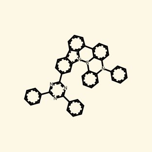 c1ccc(-c2nc(-c3ccccc3)nc(-c3ccc4c5cccc6c5n(c4c3)B3c4ccccc4N(c4ccccc4)c4cccc-6c43)n2)cc1